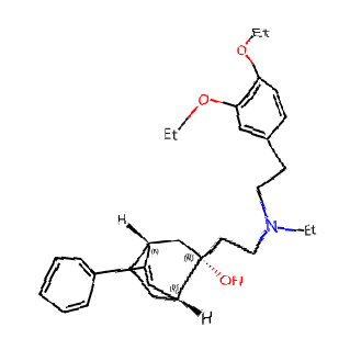 CCOc1ccc(CCN(CC)CC[C@]2(O)C[C@H]3CC[C@@H]2C=C3c2ccccc2)cc1OCC